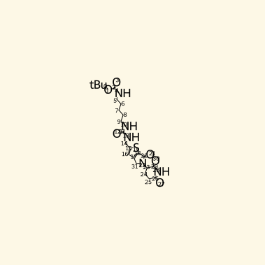 CC(C)(C)OC(=O)NCCCCCNC(=O)NCc1cc2c(s1)C(=O)N(C1CCC(=O)NC1=O)C2